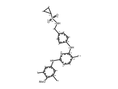 COc1c(C)cc(Nc2ncc(F)c(Nc3ccc(CNS(=O)(=O)C4CC4)cc3)n2)cc1C